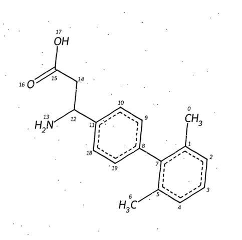 Cc1cccc(C)c1-c1ccc(C(N)CC(=O)O)cc1